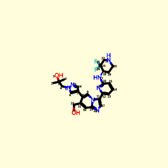 CC(C)(O)Cn1cc(-c2cn3c(-c4cccc(N[C@@H]5CCNCC5(F)F)n4)cnc3cc2CO)cn1